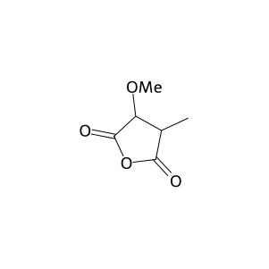 COC1C(=O)OC(=O)C1C